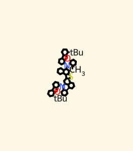 Cc1ccccc1N(c1cc2sc3c4cccc5c4c(cc3c2c2ccccc12)N(c1cccc2c1oc1c(C(C)(C)C)cccc12)c1ccccc1-5)c1cccc2c1oc1c(C(C)(C)C)cccc12